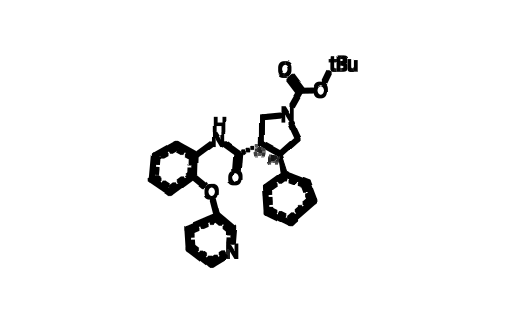 CC(C)(C)OC(=O)N1C[C@@H](C(=O)Nc2ccccc2Oc2cccnc2)[C@H](c2ccccc2)C1